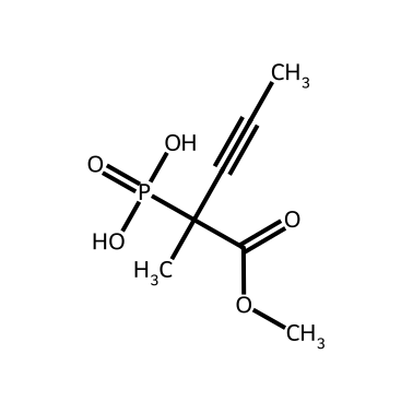 CC#CC(C)(C(=O)OC)P(=O)(O)O